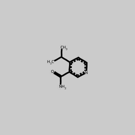 CC(C)c1ccncc1C(N)=O